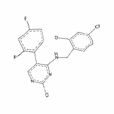 Fc1ccc(-c2cnc(Cl)nc2NCc2ccc(Cl)cc2Cl)c(F)c1